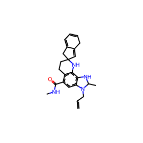 C=CCN1c2cc(C(=O)NC)c3c(c2NC1C)NC1(C=C2CC=CC=C2C1)CC3